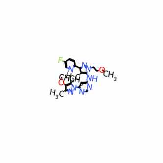 COCCn1nc(-c2ccc(F)cn2)c(C)c1Nc1cc(-n2nc(C)c(OC)c2C)ncn1